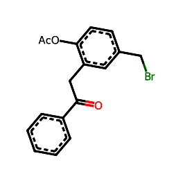 CC(=O)Oc1ccc(CBr)cc1CC(=O)c1ccccc1